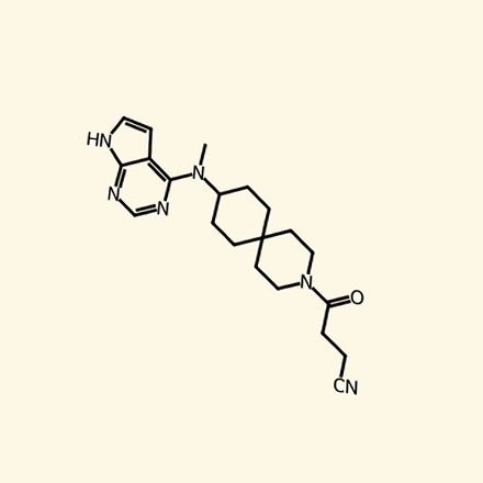 CN(c1ncnc2[nH]ccc12)C1CCC2(CC1)CCN(C(=O)CCC#N)CC2